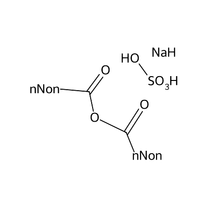 CCCCCCCCCC(=O)OC(=O)CCCCCCCCC.O=S(=O)(O)O.[NaH]